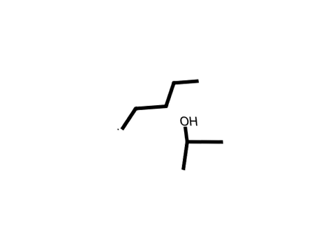 CC(C)O.[CH2]CCCC